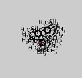 Cc1cc([Si](C)(C)C)c([Si](C)(C)C)c([Si](C)(C)C)c1[Si](Cl)(c1c(C)cc([Si](C)(C)C)c([Si](C)(C)C)c1[Si](C)(C)C)c1c(C)cc([Si](C)(C)C)c([Si](C)(C)C)c1[Si](C)(C)C